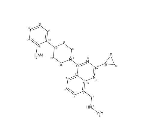 CCCNCc1cccc2c(N3CCC(c4ccccc4OC)CC3)nc(C3CC3)nc12